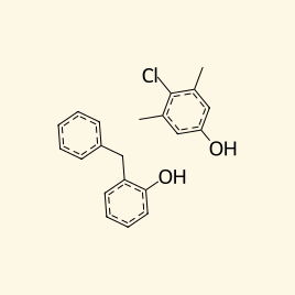 Cc1cc(O)cc(C)c1Cl.Oc1ccccc1Cc1ccccc1